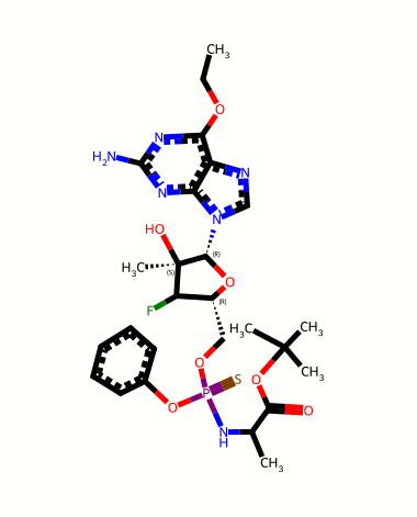 CCOc1nc(N)nc2c1ncn2[C@@H]1O[C@H](COP(=S)(NC(C)C(=O)OC(C)(C)C)Oc2ccccc2)C(F)[C@@]1(C)O